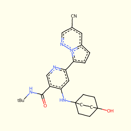 CC(C)(C)NC(=O)c1cnc(-c2ccc3cc(C#N)cnn23)cc1NC12CCC(O)(CC1)CC2